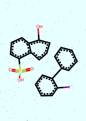 Ic1ccccc1-c1ccccc1.O=S(=O)(O)c1cccc2c(O)cccc12